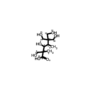 CC(C(O)C(C)(CO)C(=O)O)C(CO)(CO)CO